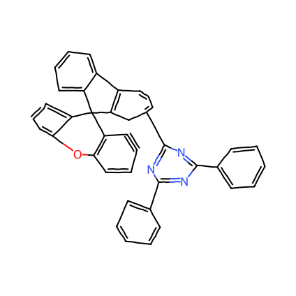 c1ccc2c(c#1)C1(C3=C(C=CC=C(c4nc(-c5ccccc5)nc(-c5ccccc5)n4)C3)c3ccccc31)c1ccccc1O2